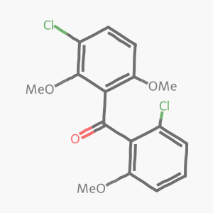 COc1cccc(Cl)c1C(=O)c1c(OC)ccc(Cl)c1OC